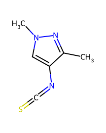 Cc1nn(C)cc1N=C=S